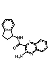 Nc1nc2ccccc2nc1C(=O)N[C@H]1CCc2ccccc21